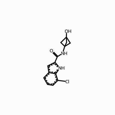 O=C(NC12CC(O)(C1)C2)c1cc2cccc(Cl)c2[nH]1